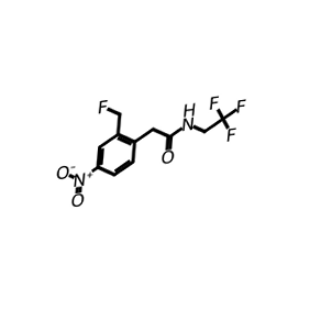 O=C(Cc1ccc([N+](=O)[O-])cc1CF)NCC(F)(F)F